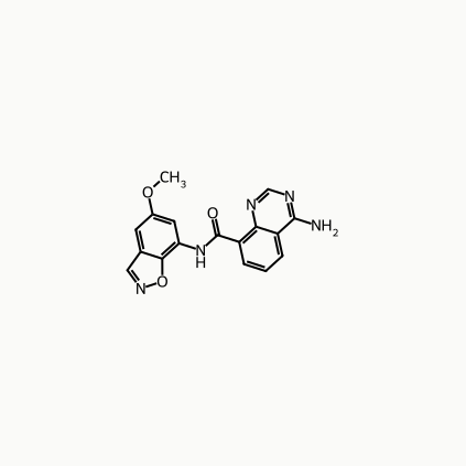 COc1cc(NC(=O)c2cccc3c(N)ncnc23)c2oncc2c1